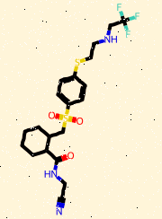 N#CCNC(=O)C1CCCCC1CS(=O)(=O)c1ccc(SCCNCC(F)(F)F)cc1